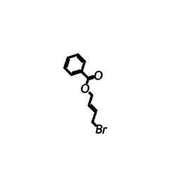 O=C(OCC=CCBr)c1ccccc1